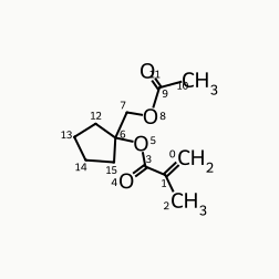 C=C(C)C(=O)OC1(COC(C)=O)CCCC1